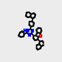 c1ccc(C2=NC(c3ccc(-c4cccc5ccccc45)c4oc5ccccc5c34)=NC(c3ccc(-c4cccc5ccccc45)cc3)N2)cc1